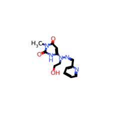 Cn1c(=O)cc(N(CCO)/N=C\c2ccccn2)[nH]c1=O